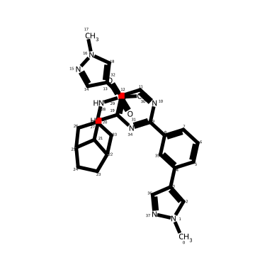 Cn1cc(-c2cccc(-c3ncc(-c4cnn(C)c4)c(NC4C5CCC4CC(NS(C)(=O)=O)C5)n3)c2)cn1